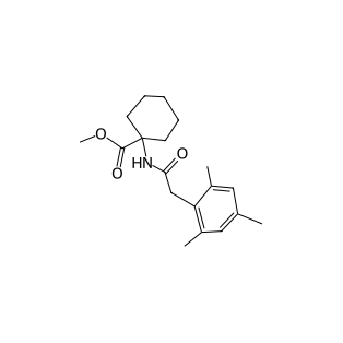 COC(=O)C1(NC(=O)Cc2c(C)cc(C)cc2C)CCCCC1